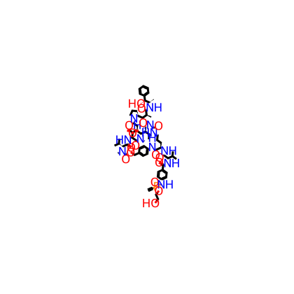 C#CP(=O)(Nc1ccc(C(=O)N[C@@H](C(=O)N[C@H](CCCNC(N)=O)C(=O)Nc2ccc(COC(=O)N(C)[C@@H](C(=O)N[C@@H](C(=O)N(C)[C@@H]([C@H](CC(=O)N3CCC[C@@H]3[C@@H](OC)[C@H](C)C(=O)N[C@@H](C)[C@H](O)c3ccccc3)OC)[C@@H](C)CC)C(C)C)C(C)C)cc2)C(C)C)cc1)OCCO